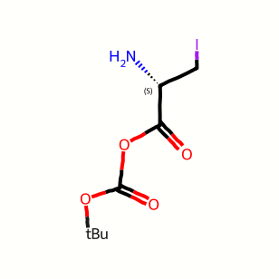 CC(C)(C)OC(=O)OC(=O)[C@H](N)CI